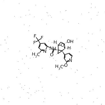 COc1cc([C@@]23C[C@]2(C(=O)Nc2cc(C(F)(F)F)cc(C)n2)[C@H]2C[C@H](O)[C@@H]3O2)ccn1